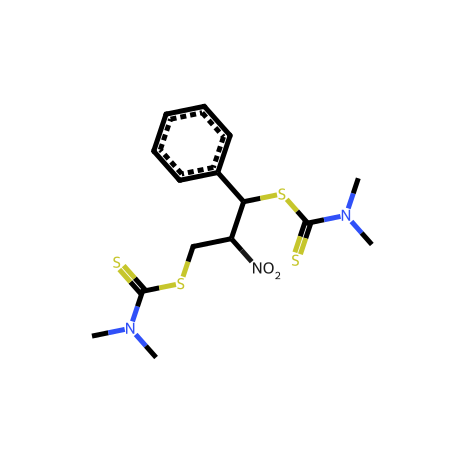 CN(C)C(=S)SCC(C(SC(=S)N(C)C)c1ccccc1)[N+](=O)[O-]